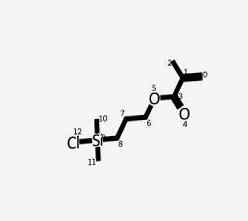 C=C(C)C(=O)OCCC[Si](C)(C)Cl